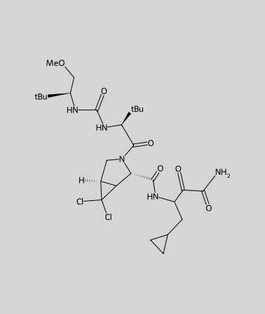 COC[C@@H](NC(=O)N[C@H](C(=O)N1C[C@H]2C([C@H]1C(=O)NC(CC1CC1)C(=O)C(N)=O)C2(Cl)Cl)C(C)(C)C)C(C)(C)C